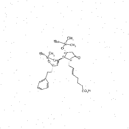 CC(C)(C)[Si](C)(C)O[C@H](C=C[C@H]1[C@H](O[Si](C)(C)C(C)(C)C)CC(=O)[C@@H]1CC=CCCCC(=O)O)CCc1ccccc1